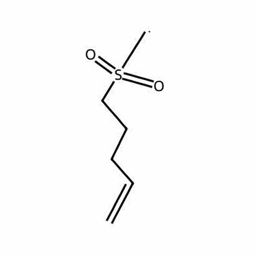 [CH2]S(=O)(=O)CCCC=C